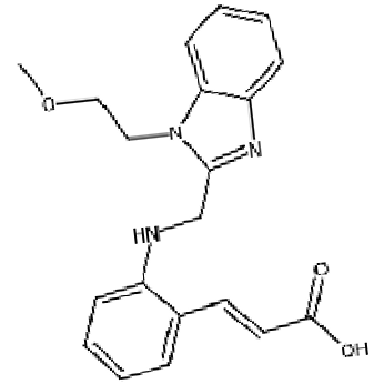 COCCn1c(CNc2ccccc2C=CC(=O)O)nc2ccccc21